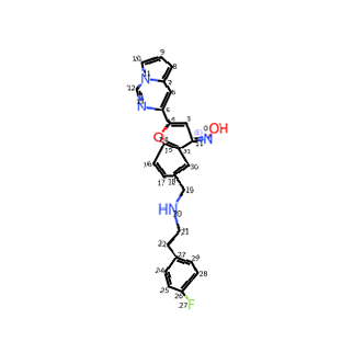 O/N=c1\cc(-c2cc3cccn3cn2)oc2ccc(CNCCc3ccc(F)cc3)cc12